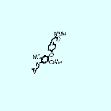 CNC(=O)CN1CCC(Oc2cc(C#N)c(N=CN(C)C)cc2OC)CC1